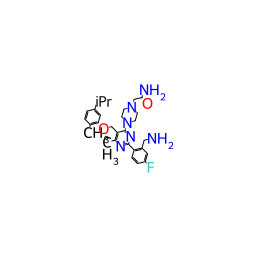 Cc1ccc(C(C)C)cc1OCc1c(C)nc(-c2ccc(F)cc2CN)nc1N1CCN(CC(N)=O)CC1